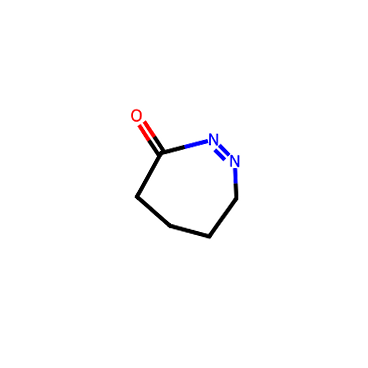 O=C1CCCCN=N1